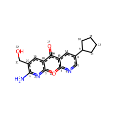 Nc1nc2oc3ncc(C4CCCC4)cc3c(=O)c2cc1CO